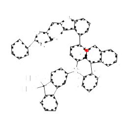 CC1(C)c2ccccc2-c2cc(N(c3ccc(-c4cccc5oc6cc7oc(-c8ccccc8)nc7cc6c45)cc3)c3ccccc3-c3cccc4ccccc34)ccc21